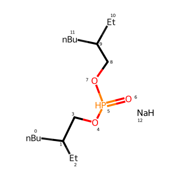 CCCCC(CC)CO[PH](=O)OCC(CC)CCCC.[NaH]